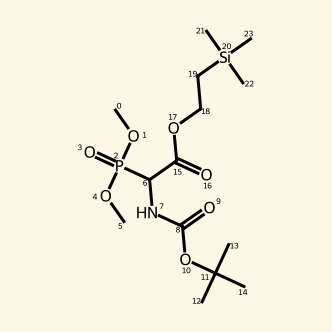 COP(=O)(OC)C(NC(=O)OC(C)(C)C)C(=O)OCC[Si](C)(C)C